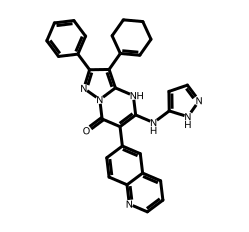 O=c1c(-c2ccc3ncccc3c2)c(Nc2ccn[nH]2)[nH]c2c(C3=CCCCC3)c(-c3ccccc3)nn12